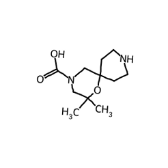 CC1(C)CN(C(=O)O)CC2(CCNCC2)O1